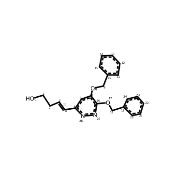 OCC/C=C/c1cc(OCc2ccccc2)c(OCc2ccccc2)nn1